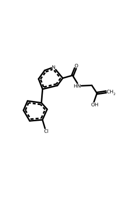 C=C(O)CNC(=O)c1cc(-c2cccc(Cl)c2)ccn1